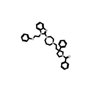 O=C(c1ccccc1)N1CCC(CCN2CCCN(c3nc4ccccc4n3CCOc3ccccc3)CC2)(c2ccccc2)C1